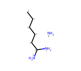 CCCCCC(N)N.N